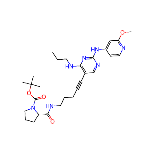 CCCNc1nc(Nc2ccnc(OC)c2)ncc1C#CCCCNC(=O)[C@@H]1CCCN1C(=O)OC(C)(C)C